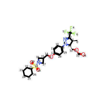 C[C@@H]1C(C(F)(F)F)=NN(c2ccc(OCC3CN(S(=O)(=O)C4CCCCC4)C3)cc2)[C@H]1COC=O